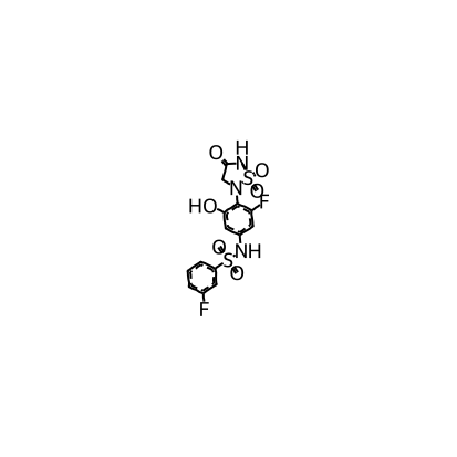 O=C1CN(c2c(O)cc(NS(=O)(=O)c3cccc(F)c3)cc2F)S(=O)(=O)N1